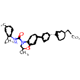 Cc1ccc(NC(=O)N2CC(C)Oc3cc(-c4ccc([C@H]5CC[C@H](CC(=O)O)CC5)cc4)ccc32)c(C)c1